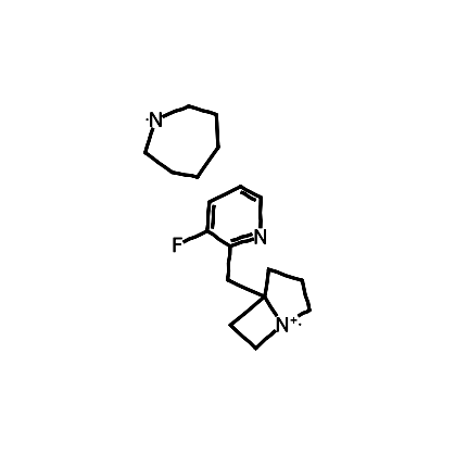 C1CCC[N]CC1.Fc1cccnc1CC12CCC[N+]1CC2